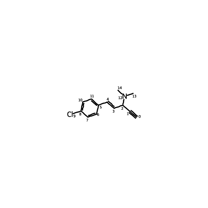 C#CC(C=Cc1ccc(Cl)cc1)N(C)C